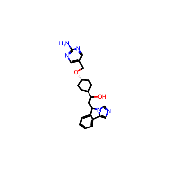 Nc1ncc(CO[C@H]2CC[C@H](C(O)CC3c4ccccc4-c4cncn43)CC2)cn1